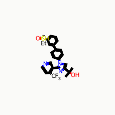 CC[SH](C)(=O)c1cccc(-c2ccc(-n3cc(C(C)(C)O)nc3-c3cnccc3C(F)(F)F)cc2)c1